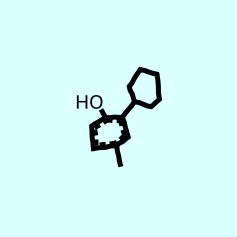 Cc1ccc(O)c(C2CCCCC2)c1